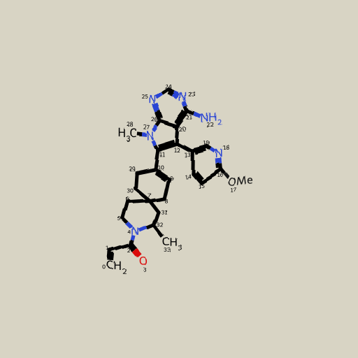 C=CC(=O)N1CCC2(CC=C(c3c(-c4ccc(OC)nc4)c4c(N)ncnc4n3C)CC2)CC1C